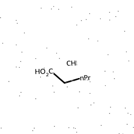 CCCCC(=O)O.[CH]